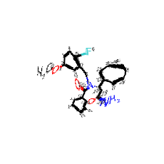 COc1ccc(F)c(CN(C(=O)c2ccccc2)[C@@H](C(N)=O)c2ccccc2)c1